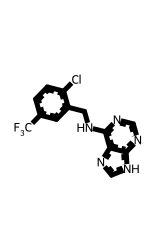 FC(F)(F)c1ccc(Cl)c(CNc2ncnc3[nH]cnc23)c1